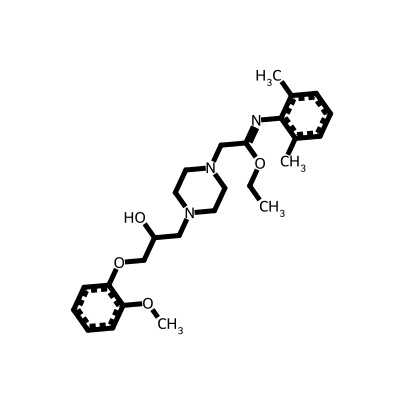 CCO/C(CN1CCN(CC(O)COc2ccccc2OC)CC1)=N\c1c(C)cccc1C